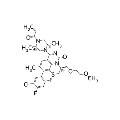 C=CC(=O)N1C[C@H](C)N(c2nc(=O)n3c4c(c(-c5cc(Cl)c(F)cc5F)c(C)cc24)SC[C@@H]3COCCOC)C[C@H]1C